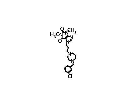 Cn1c(=O)c2c(ncn2CCCN2CCCN(Cc3cccc(Cl)c3)CC2)n(C)c1=O